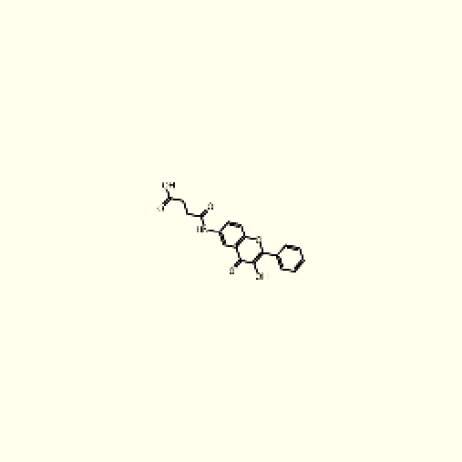 O=C(O)CCC(=O)Nc1ccc2oc(-c3ccccc3)c(O)c(=O)c2c1